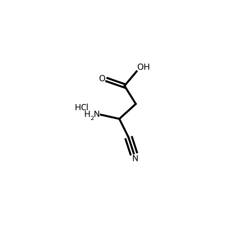 Cl.N#CC(N)CC(=O)O